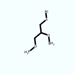 BOC(COP)CSC(C)=O